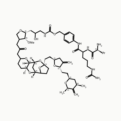 C=C1C[C@H](CC[C@]23CCC(O2)[C@H]2C[C@@H](O3)[C@H]3OC(CC(=O)CC4CO[C@H](CC(O)CNC(=O)OCc5ccc(NC(=O)C(CCCNC(N)=O)NC(=O)[C@@H](N)C(C)C)cc5)[C@@H]4OC)CC[C@@H]3O2)O[C@H]1CC[C@H]1C[C@@H](C)C(=C)[C@@H](C)O1